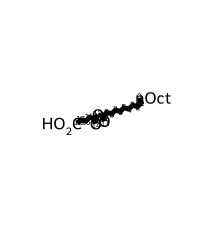 CCCCCCCC/C=C\CCCCCCCC(=O)OC(=O)CCCC(=O)O